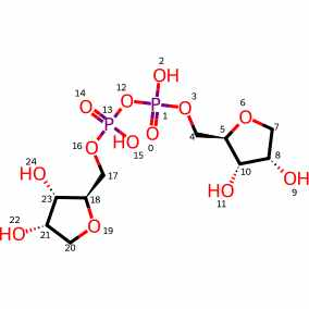 O=P(O)(OC[C@H]1OC[C@H](O)[C@@H]1O)OP(=O)(O)OC[C@H]1OC[C@H](O)[C@@H]1O